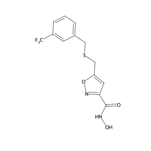 O=C(NO)c1cc(CSCc2cccc(C(F)(F)F)c2)on1